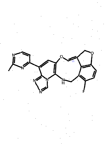 Cc1nccc(-c2cc3c(n4cnnc24)NCc2c(F)ccc4c2/C(=C/O3)CO4)n1